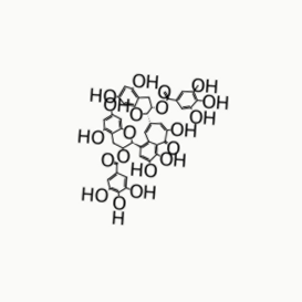 O=C(O[C@H]1Cc2c(O)cc(O)cc2O[C@H]1c1cc(O)c(=O)c2c(O)c(O)cc([C@@H]3Oc4cc(O)cc(O)c4C[C@@H]3OC(=O)c3cc(O)c(O)c(O)c3)c2c1)c1cc(O)c(O)c(O)c1